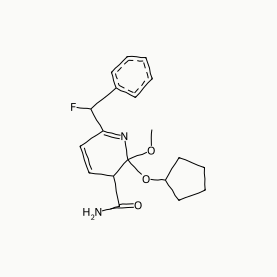 COC1(OC2CCCC2)N=C(C(F)c2ccccc2)C=CC1C(N)=O